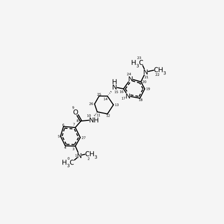 CN(C)c1cccc(C(=O)N[C@H]2CC[C@@H](Nc3nccc(N(C)C)n3)CC2)c1